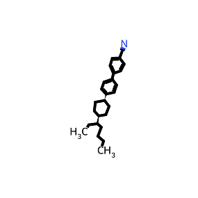 CCCCC(CC)[C@H]1CC[C@H](c2ccc(-c3ccc(C#N)cc3)cc2)CC1